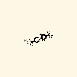 COC(=O)c1cnc(N2CCC(C(N)=O)CC2)c(C)c1